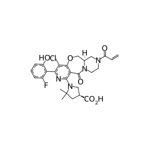 C=CC(=O)N1CCN2C(=O)c3c(N4C[C@@H](C(=O)O)CC4(C)C)nc(-c4c(O)cccc4F)c(Cl)c3OC[C@H]2C1